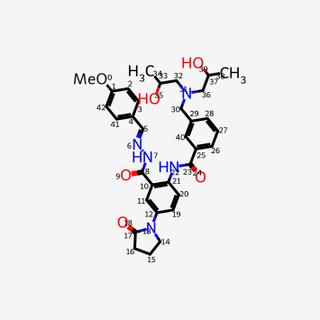 COc1ccc(C=NNC(=O)c2cc(N3CCCC3=O)ccc2NC(=O)c2cccc(CN(CC(C)O)CC(C)O)c2)cc1